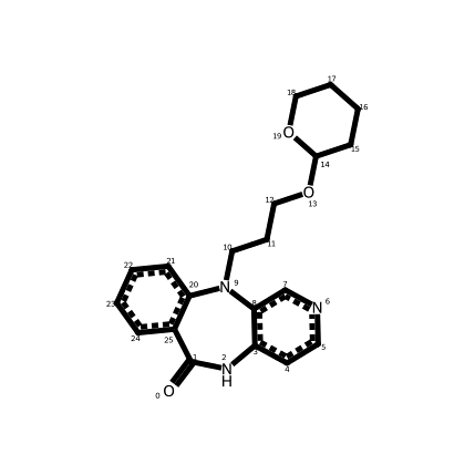 O=C1Nc2ccncc2N(CCCOC2CCCCO2)c2ccccc21